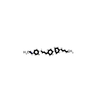 C/C=C/[C@H]1CC[C@H](CCCCC2CCC([C@H]3CC[C@H](CCCCC)CC3)CC2)CC1